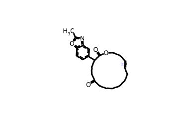 Cc1nc2cc(C3CCC(=O)CCCCCC/C=C/CCOC3=O)ccc2o1